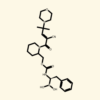 CC(C)(C=C(C#N)C(=O)N1CCCCC1COC(=O)N[C@@H](Cc1ccccc1)B(O)O)N1CCOCC1